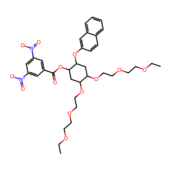 CCOCCOCCOC1CC(OC(=O)c2cc([N+](=O)[O-])cc([N+](=O)[O-])c2)C(Oc2ccc3ccccc3c2)CC1OCCOCCOCC